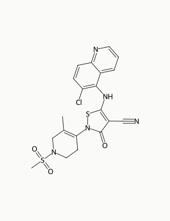 CC1=C(n2sc(Nc3c(Cl)ccc4ncccc34)c(C#N)c2=O)CCN(S(C)(=O)=O)C1